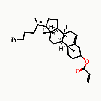 C=CC(=O)OC1CC[C@@]2(C)C(=CC[C@H]3[C@@H]4CC[C@H]([C@H](C)CCCC(C)C)[C@@]4(C)CC[C@@H]32)C1